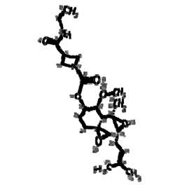 CCNC(=O)C1CN(C(=O)O[C@@H]2CC[C@]3(CO3)[C@@H]([C@@]3(C)O[C@@H]3CC=C(C)C)[C@@H]2OC)C1